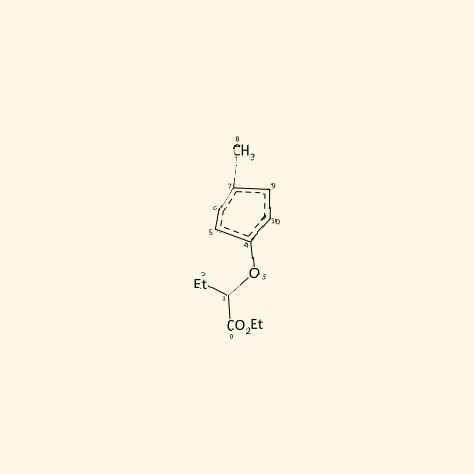 CCOC(=O)C(CC)Oc1ccc(C)cc1